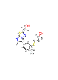 Cc1nc2sc(C(C)(C)O)nn2c1-c1ccc(C(F)(F)F)c(SCCC(C)(C)O)c1